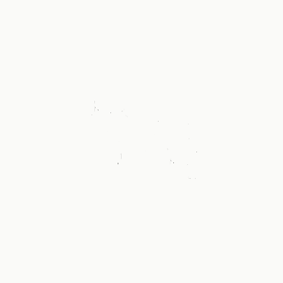 CN1C(=O)Cc2cccc(Oc3ccc(N)cc3Cl)c21